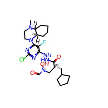 CN1CCN(c2nc(Cl)nc(NNC(=O)[C@H](CC3CCCC3)CN(O)C=O)c2F)[C@H]2CCCC[C@H]21